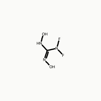 ON=C(NO)N(F)F